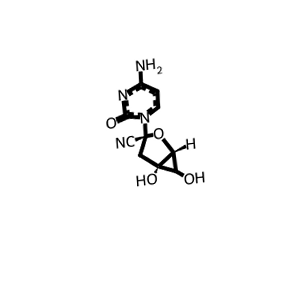 N#C[C@]1(n2ccc(N)nc2=O)C[C@]2(O)C(O)[C@H]2O1